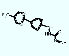 N=NC(=O)NNc1ccc(-c2ncc(C(F)(F)F)cn2)cc1